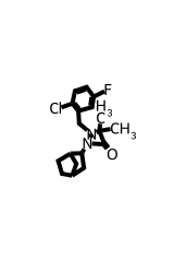 CC1(C)C(=O)N(C2CC3CCC2C3)N1Cc1cc(F)ccc1Cl